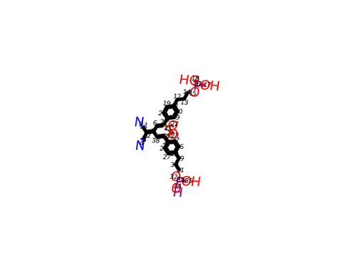 N#CC(C#N)=C1C=C(c2ccc(CCCOP(O)O)cc2)S(=O)(=O)C(c2ccc(CCCO[PH](=O)O)cc2)=C1